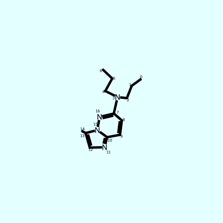 CCCN(CCC)c1ccc2ncc(C)n2n1